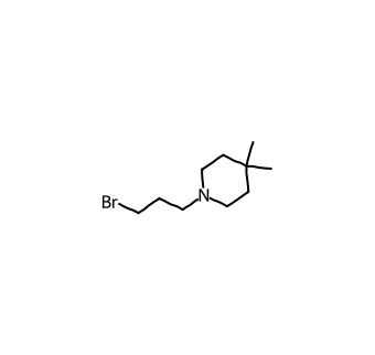 CC1(C)CCN(CCCBr)CC1